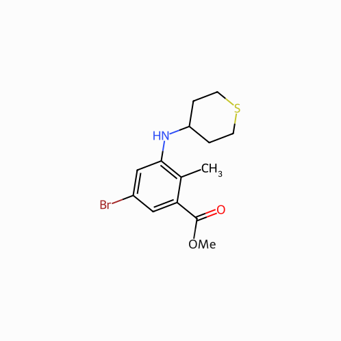 COC(=O)c1cc(Br)cc(NC2CCSCC2)c1C